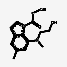 Cc1cc(N(C)CCO)c2c(ccn2C(=O)OC(C)(C)C)c1